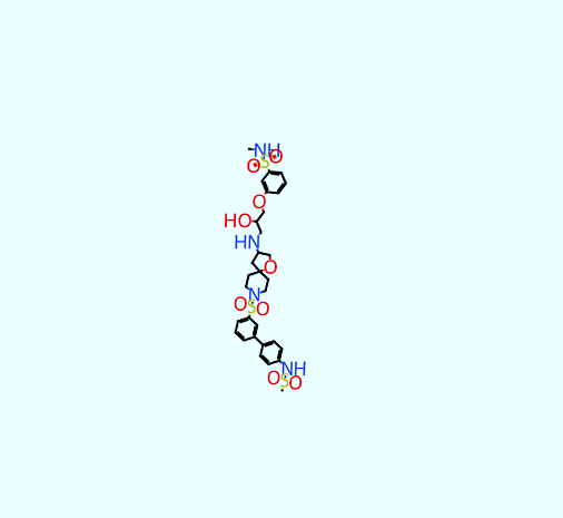 CNS(=O)(=O)c1cccc(OCC(O)CNC2COC3(CCN(S(=O)(=O)c4cccc(-c5ccc(NS(C)(=O)=O)cc5)c4)CC3)C2)c1